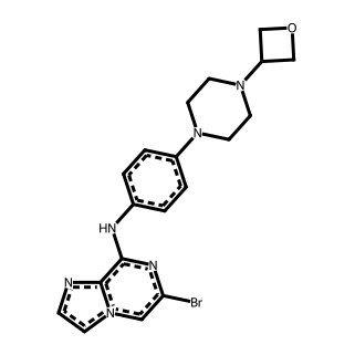 Brc1cn2ccnc2c(Nc2ccc(N3CCN(C4COC4)CC3)cc2)n1